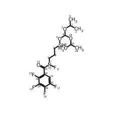 CC(C)OC(O[SiH2]CCCN(F)C(=O)c1cc(F)c(F)c(F)c1F)OC(C)C